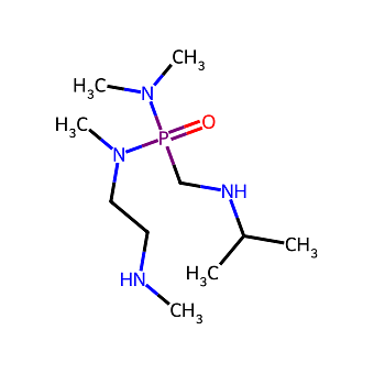 CNCCN(C)P(=O)(CNC(C)C)N(C)C